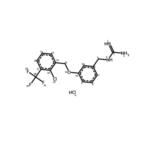 Cl.N=C(N)NCc1cccc(OCc2cccc(C(F)(F)F)c2Cl)c1